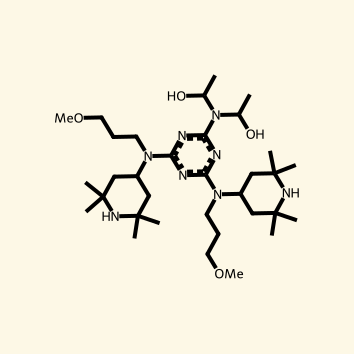 COCCCN(c1nc(N(CCCOC)C2CC(C)(C)NC(C)(C)C2)nc(N(C(C)O)C(C)O)n1)C1CC(C)(C)NC(C)(C)C1